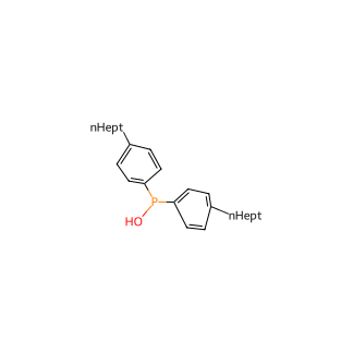 CCCCCCCc1ccc(P(O)c2ccc(CCCCCCC)cc2)cc1